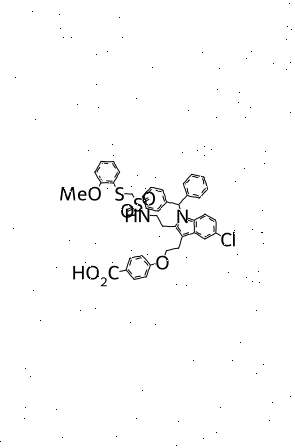 COc1ccccc1SCS(=O)(=O)NCCc1c(CCOc2ccc(C(=O)O)cc2)c2cc(Cl)ccc2n1C(c1ccccc1)c1ccccc1